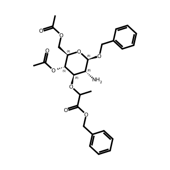 CC(=O)OC[C@H]1O[C@@H](OCc2ccccc2)[C@H](N)[C@@H](OC(C)C(=O)OCc2ccccc2)[C@@H]1OC(C)=O